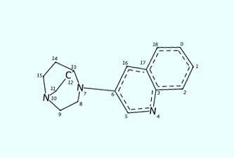 c1ccc2ncc(N3CCN4CCC3CC4)cc2c1